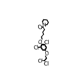 O=C(CCCCCOc1c(Cl)cc(OCC=C(Cl)Cl)cc1Cl)N1CCCCC1